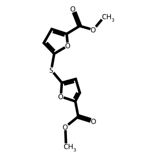 COC(=O)c1ccc(Sc2ccc(C(=O)OC)o2)o1